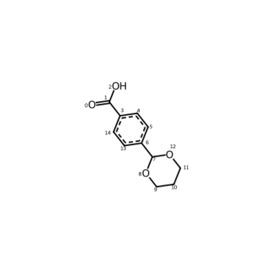 O=C(O)c1ccc(C2OCCCO2)cc1